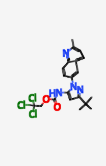 Cc1ccc2cc(-n3nc(C(C)(C)C)cc3NC(=O)OCC(Cl)(Cl)Cl)ccc2n1